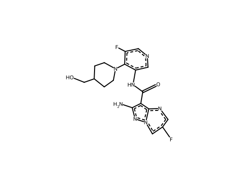 Nc1nn2cc(F)cnc2c1C(=O)Nc1cncc(F)c1N1CCC(CO)CC1